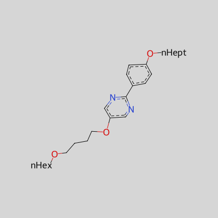 CCCCCCCOc1ccc(-c2ncc(OCCCCOCCCCCC)cn2)cc1